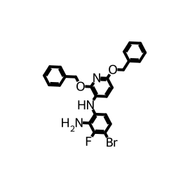 Nc1c(Nc2ccc(OCc3ccccc3)nc2OCc2ccccc2)ccc(Br)c1F